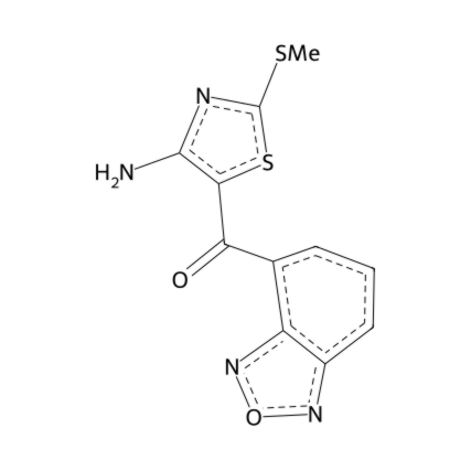 CSc1nc(N)c(C(=O)c2cccc3nonc23)s1